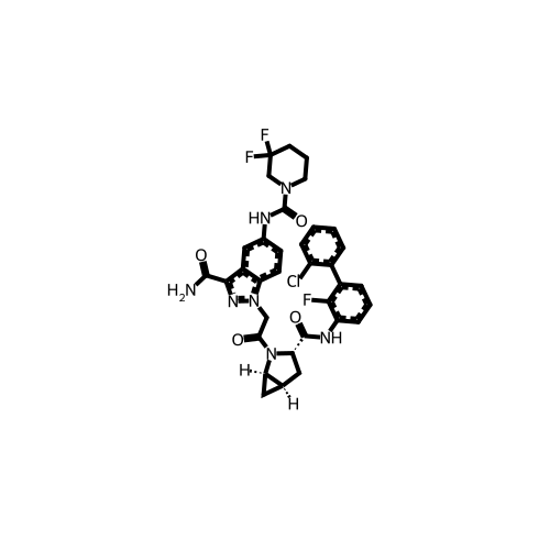 NC(=O)c1nn(CC(=O)N2[C@@H]3C[C@@H]3C[C@H]2C(=O)Nc2cccc(-c3ccccc3Cl)c2F)c2ccc(NC(=O)N3CCCC(F)(F)C3)cc12